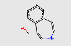 C1=Cc2ccccc2C=CN1.CO